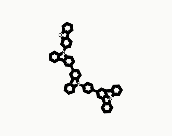 c1ccc2c(c1)oc1cc(-n3c4ccccc4c4cc(-c5ccc6c(c5)c5ccccc5n6-c5ccc(-c6cc7c8ccccc8n8c9ccccc9c(c6)c78)cc5)ccc43)ccc12